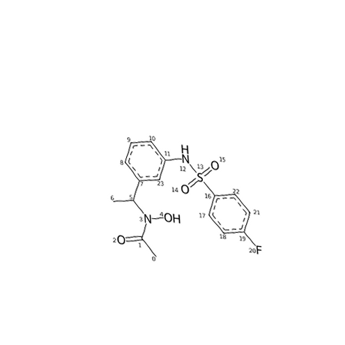 CC(=O)N(O)C(C)c1cccc(NS(=O)(=O)c2ccc(F)cc2)c1